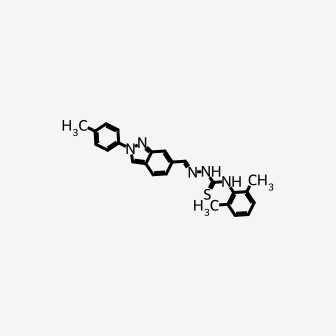 Cc1ccc(-n2cc3ccc(/C=N/NC(=S)Nc4c(C)cccc4C)cc3n2)cc1